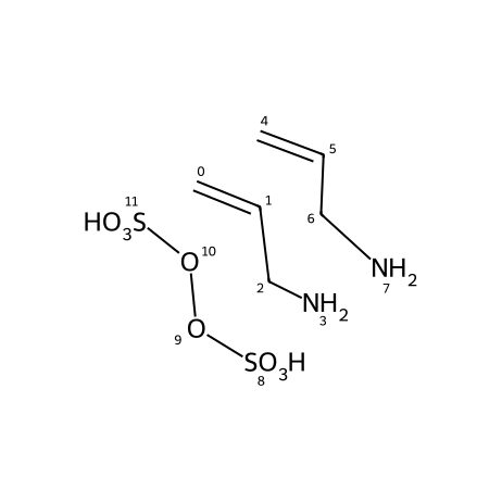 C=CCN.C=CCN.O=S(=O)(O)OOS(=O)(=O)O